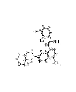 Cc1nnc(N[C@H](N)c2cccc(F)c2Cl)c2cc(N3CCN4CCOC[C@@H]4C3)ncc12